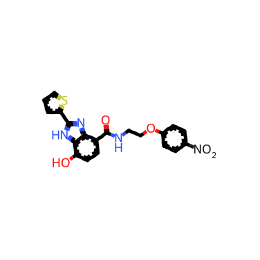 O=C(NCCOc1ccc([N+](=O)[O-])cc1)c1ccc(O)c2[nH]c(-c3cccs3)nc12